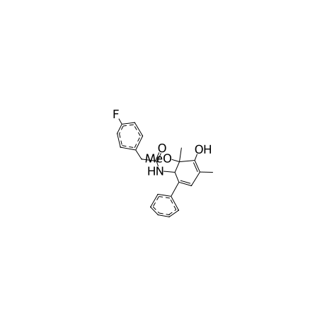 COC1(C)C(O)=C(C)C=C(c2ccccc2)C1NC(=O)Cc1ccc(F)cc1